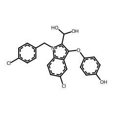 Oc1ccc(Oc2c(C(O)O)n(Cc3ccc(Cl)cc3)c3ccc(Cl)cc23)cc1